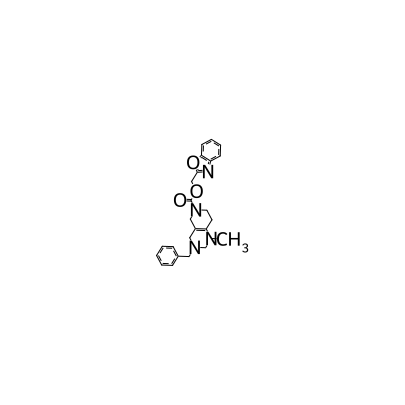 CN1CN(Cc2ccccc2)CC2=C1CCN(C(=O)OCc1nc3ccccc3o1)C2